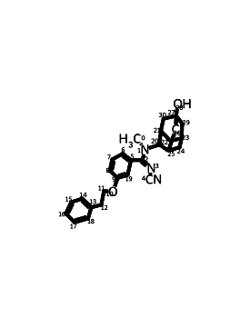 CN(C(=NC#N)c1cccc(OCCc2ccccc2)c1)C1C2CC3CC1CC(O)(C3)C2